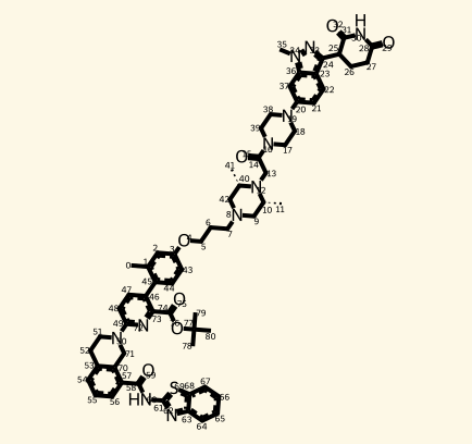 Cc1cc(OCCCN2C[C@@H](C)N(CC(=O)N3CCN(c4ccc5c(C6CCC(=O)NC6=O)nn(C)c5c4)CC3)[C@@H](C)C2)ccc1-c1ccc(N2CCc3cccc(C(=O)Nc4nc5ccccc5s4)c3C2)nc1C(=O)OC(C)(C)C